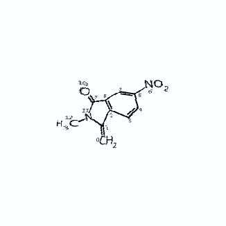 C=C1c2ccc([N+](=O)[O-])cc2C(=O)N1C